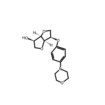 O[C@@H]1CO[C@H]2[C@@H]1OC[C@H]2Oc1ccc(N2CCOCC2)cc1